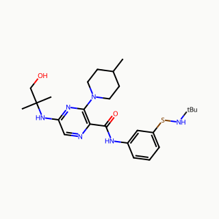 CC1CCN(c2nc(NC(C)(C)CO)cnc2C(=O)Nc2cccc(SNC(C)(C)C)c2)CC1